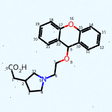 O=C(O)CC1CCN(CCOC2c3ccccc3Oc3ccccc32)C1